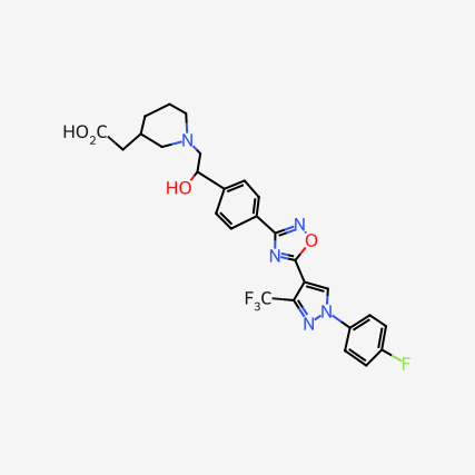 O=C(O)CC1CCCN(CC(O)c2ccc(-c3noc(-c4cn(-c5ccc(F)cc5)nc4C(F)(F)F)n3)cc2)C1